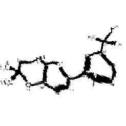 CC1(C)CNc2nc(-c3cccc(C(F)(F)F)c3)ccc2O1